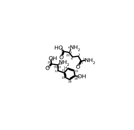 NC(=O)CC[C@H](N)C(=O)O.N[C@@H](Cc1ccc(O)cc1)C(=O)O